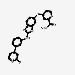 CNC(=O)c1cc(Oc2ccc3[nH]c(Nc4cccc(-c5ccnc(F)c5)c4)nc3c2)ccn1